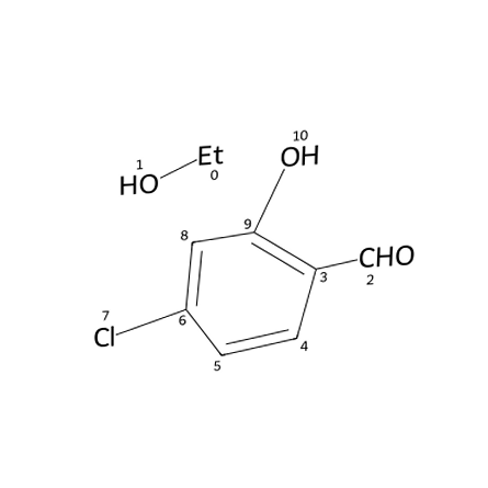 CCO.O=Cc1ccc(Cl)cc1O